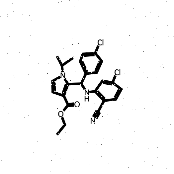 CCOC(=O)c1ccn(C(C)C)c1C(Nc1cc(Cl)ccc1C#N)c1ccc(Cl)cc1